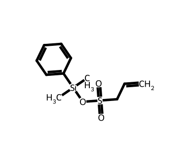 C=CCS(=O)(=O)O[Si](C)(C)c1ccccc1